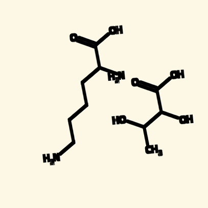 CC(O)C(O)C(=O)O.NCCCCC(N)C(=O)O